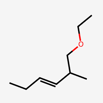 CC/C=C/C(C)COCC